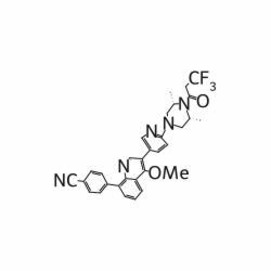 COc1c(-c2ccc(N3C[C@@H](C)N(C(=O)CC(F)(F)F)[C@@H](C)C3)nc2)cnc2c(-c3ccc(C#N)cc3)cccc12